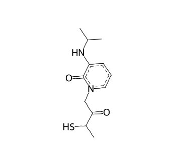 CC(C)Nc1cccn(CC(=O)C(C)S)c1=O